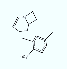 C1=CN2CCC2CC1.Cc1ccc(C(=O)O)c(C)c1